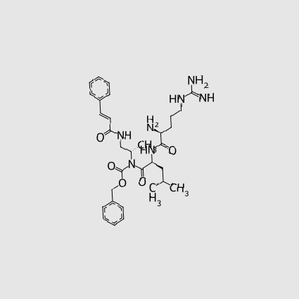 CC(C)C[C@H](NC(=O)[C@@H](N)CCCNC(=N)N)C(=O)N(C(=O)OCc1ccccc1)[C@@H](C)CNC(=O)/C=C/c1ccccc1